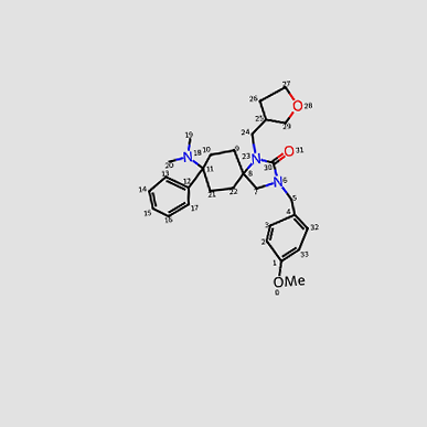 COc1ccc(CN2CC3(CCC(c4ccccc4)(N(C)C)CC3)N(CC3CCOC3)C2=O)cc1